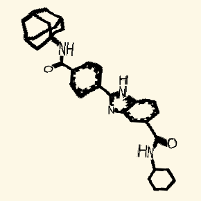 O=C(NC1CCCCC1)c1ccc2[nH]c(-c3ccc(C(=O)NC45CC6CC(CC(C6)C4)C5)cc3)nc2c1